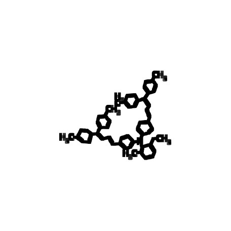 CCc1cccc(C)c1N(c1ccc(/C=C/C=C(c2ccc(C)cc2)c2ccc(C)cc2)cc1)c1ccc(/C=C/C=C(c2ccc(C)cc2)c2ccc(C)cc2)cc1